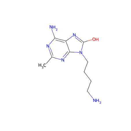 Cc1nc(N)c2nc(O)n(CCCCN)c2n1